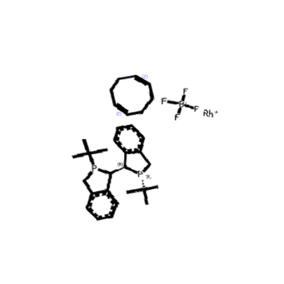 C1=C\CC/C=C\CC/1.CC(C)(C)P1Cc2ccccc2C1[C@H]1c2ccccc2C[P@]1C(C)(C)C.F[B-](F)(F)F.[Rh+]